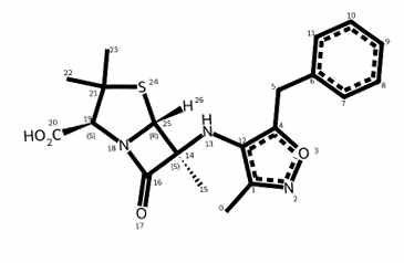 Cc1noc(Cc2ccccc2)c1N[C@@]1(C)C(=O)N2[C@@H](C(=O)O)C(C)(C)S[C@@H]21